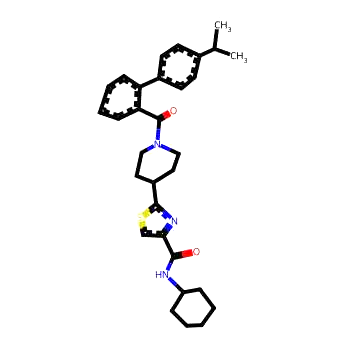 CC(C)c1ccc(-c2ccccc2C(=O)N2CCC(c3nc(C(=O)NC4CCCCC4)cs3)CC2)cc1